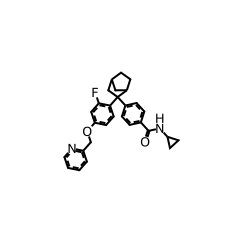 O=C(NC1CC1)c1ccc(C2(c3ccc(OCc4ccccn4)cc3F)CC3CCC2C3)cc1